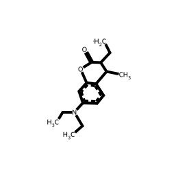 [CH2]CC1C(=O)Oc2cc(N(CC)CC)ccc2C1C